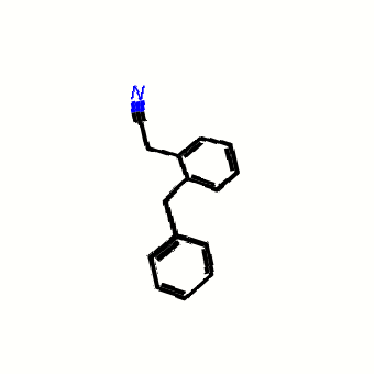 N#CCc1ccccc1Cc1ccccc1